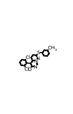 Cc1cccc(Sc2ccc3c(-c4c(Cl)cccc4Cl)c(=O)ncn3n2)c1